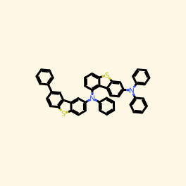 c1ccc(-c2ccc3sc4ccc(N(c5ccccc5)c5cccc6sc7cc(N(c8ccccc8)c8ccccc8)ccc7c56)cc4c3c2)cc1